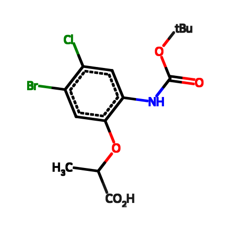 CC(Oc1cc(Br)c(Cl)cc1NC(=O)OC(C)(C)C)C(=O)O